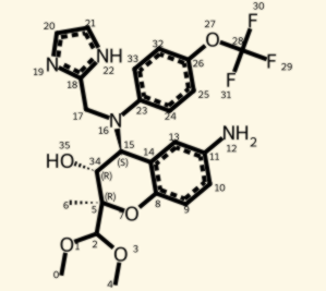 COC(OC)[C@]1(C)Oc2ccc(N)cc2[C@H](N(Cc2ncc[nH]2)c2ccc(OC(F)(F)F)cc2)[C@H]1O